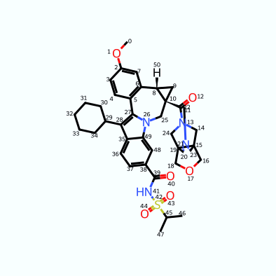 COc1ccc2c(c1)[C@@H]1C[C@]1(C(=O)N1CC34COCC3(CN(C)C4)C1)Cn1c-2c(C2CCCCC2)c2ccc(C(=O)NS(=O)(=O)C(C)C)cc21